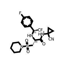 N#CC1(NC(=O)[C@H](CS(=O)(=O)N2CCCCC2)N[C@@H](c2ccc(F)cc2)C(F)(F)F)CC1